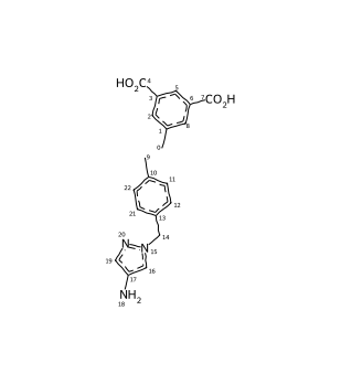 Cc1cc(C(=O)O)cc(C(=O)O)c1.Cc1ccc(Cn2cc(N)cn2)cc1